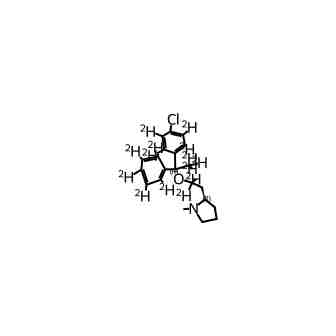 [2H]c1c([2H])c([2H])c([C@@](OC([2H])([2H])C[C@H]2CCCN2C)(c2c([2H])c([2H])c(Cl)c([2H])c2[2H])C([2H])([2H])[2H])c([2H])c1[2H]